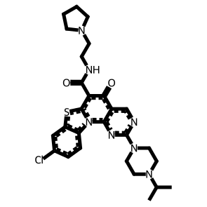 CC(C)N1CCN(c2ncc3c(=O)c(C(=O)NCCN4CCCC4)c4sc5cc(Cl)ccc5n4c3n2)CC1